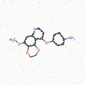 COc1cc2nccc(Oc3ccc(N)cc3)c2c2c1OCCO2